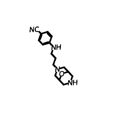 N#Cc1ccc(NCCCN2CC3CNCC(C2)O3)cc1